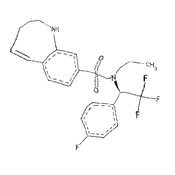 CCN([C@H](c1ccc(F)cc1)C(F)(F)F)S(=O)(=O)c1ccc2c(c1)NCCC=C2